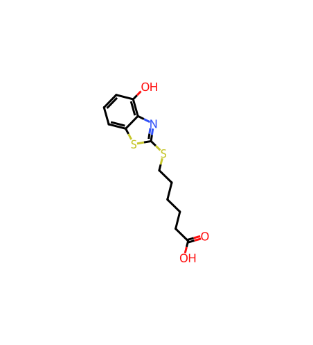 O=C(O)CCCCCSc1nc2c(O)cccc2s1